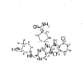 CC1(C)CC[C@@H](Nc2ncc3nc(Nc4c(Cl)cccc4Cl)n(C4CCC(C(N)=O)CC4)c3n2)C[C@H]1O